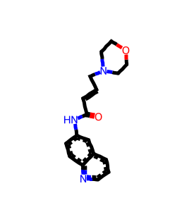 O=C(C=CCN1CCOCC1)Nc1ccc2ncccc2c1